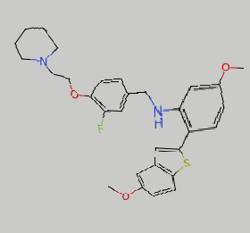 COc1ccc(-c2cc3cc(OC)ccc3s2)c(NCc2ccc(OCCN3CCCCC3)c(F)c2)c1